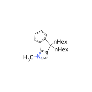 CCCCCCC1(CCCCCC)c2ccccc2-c2c1ccn2C